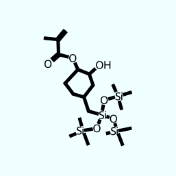 C=C(C)C(=O)OC1CCC(C[Si](O[Si](C)(C)C)(O[Si](C)(C)C)O[Si](C)(C)C)CC1O